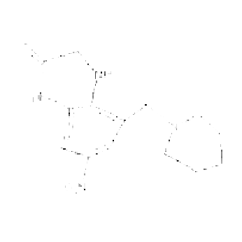 O=C1CNc2c(CN3CCCCC3)cc([N+](=O)[O-])cc2N1